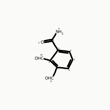 NC(=O)c1cccc(C=O)c1C=O